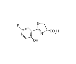 O=C(O)C1CSC(c2cc(F)ccc2O)=N1